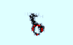 C=C1C[C@@H]2CC[C@]34C[C@H]5O[C@H]6[C@@H](O3)[C@H]3O[C@H](CC[C@@H]3O[C@H]6[C@@H]5O4)CC(=O)O[C@@H]3[C@@H](C)[C@@H]4O[C@@H]5C[C@]6(C[C@@H]7O[C@H](C[C@H](C)[C@@H]8O[C@H](CC(=O)CCO)[C@H](O)C[C@@H]8O)C[C@H](C)[C@@H]7O6)O[C@@H]5C[C@@H]4O[C@H]3C[C@H]3O[C@@H](CC[C@@H]1O2)C[C@@H](C)C3=C